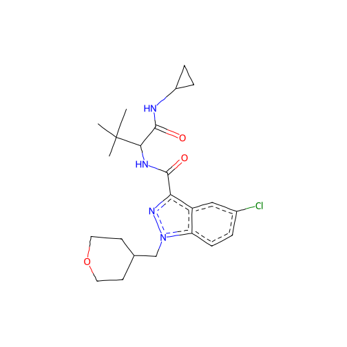 CC(C)(C)C(NC(=O)c1nn(CC2CCOCC2)c2ccc(Cl)cc12)C(=O)NC1CC1